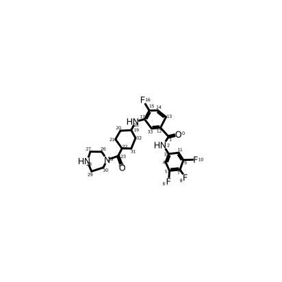 O=C(Nc1cc(F)c(F)c(F)c1)c1ccc(F)c(NC2CCC(C(=O)N3CCNCC3)CC2)c1